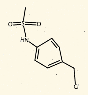 CS(=O)(=O)Nc1ccc(CCl)cc1